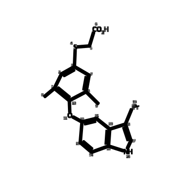 Cc1cc(SCC(=O)O)cc(C)c1Oc1ccc2[nH]cc(C(C)C)c2c1